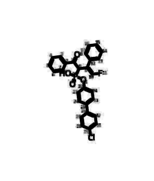 O=C(c1ccccc1)C(/C(=C/F)c1ccccc1)P(=O)(O)Oc1ccc(-c2ccc(Cl)cc2)cc1